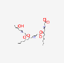 CCCCCCC(C/C=C/CC(=O)OC)OC(=O)C/C=C/CC(CCCCCC)OC(=O)C/C=C/CC(O)CC